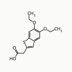 CCOc1cc2cc(CC(=O)O)sc2cc1OCC